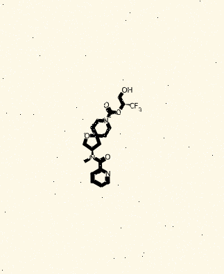 CN(C(=O)c1ccccn1)[C@H]1COC2(CCN(C(=O)O[C@H](CO)C(F)(F)F)CC2)C1